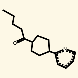 CCCCC(=O)C1CCC(c2ccccn2)CC1